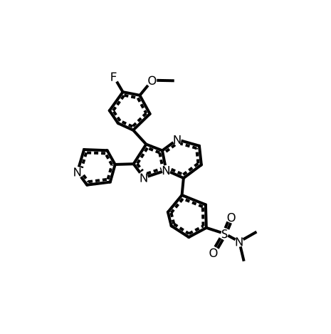 COc1cc(-c2c(-c3ccncc3)nn3c(-c4cccc(S(=O)(=O)N(C)C)c4)ccnc23)ccc1F